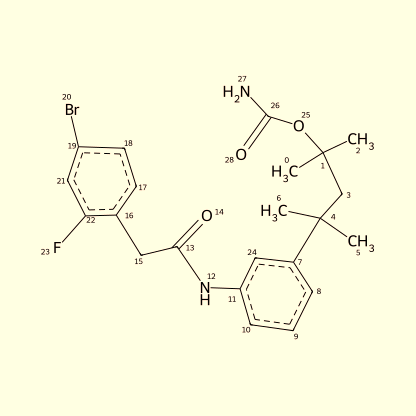 CC(C)(CC(C)(C)c1cccc(NC(=O)Cc2ccc(Br)cc2F)c1)OC(N)=O